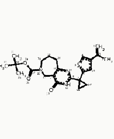 C=C(C)c1csc(C2(c3nc4c(c(=O)[nH]3)CN(C(=O)OC(C)(C)C)CCC4)CC2)c1